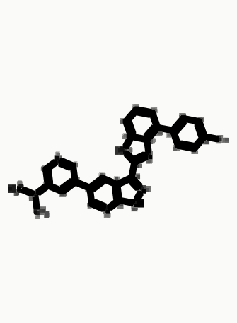 CN(C)c1cncc(-c2cnc3[nH]nc(-c4nc5c(-c6ccc(F)cc6)cccc5[nH]4)c3c2)c1